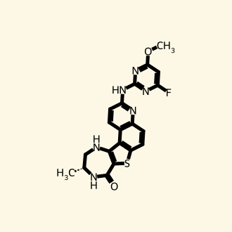 COc1cc(F)nc(Nc2ccc3c(ccc4sc5c(c43)NC[C@@H](C)NC5=O)n2)n1